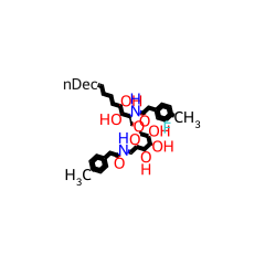 CCCCCCCCCCCCCC[C@@H](O)[C@@H](O)[C@H](CO[C@H]1OC(CNC(=O)Cc2ccc(C)cc2)[C@H](O)[C@H](O)C1O)NC(=O)Cc1ccc(C)c(F)c1